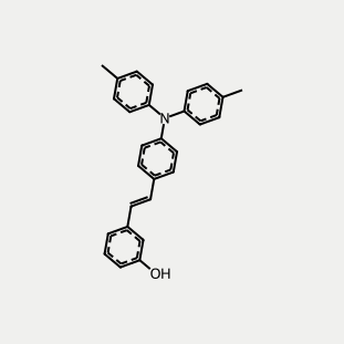 Cc1ccc(N(c2ccc(C)cc2)c2ccc(C=Cc3cccc(O)c3)cc2)cc1